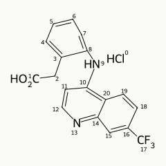 Cl.O=C(O)Cc1ccccc1Nc1ccnc2cc(C(F)(F)F)ccc12